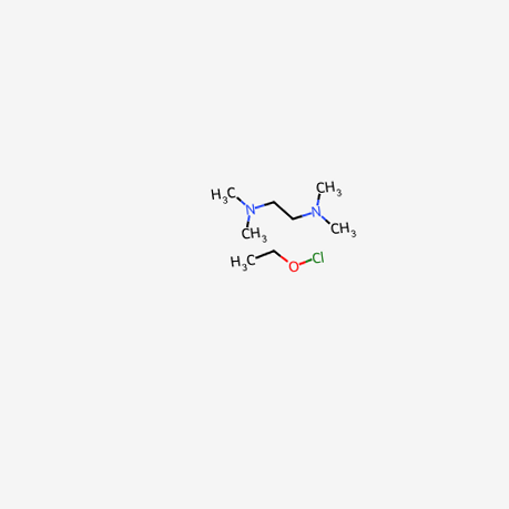 CCOCl.CN(C)CCN(C)C